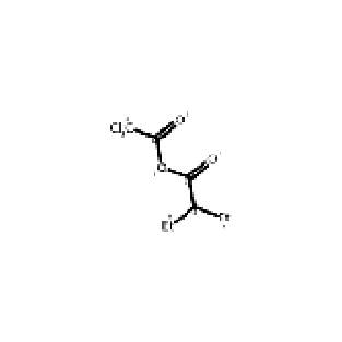 CCC(CC)C(=O)OC(=O)C(Cl)(Cl)Cl